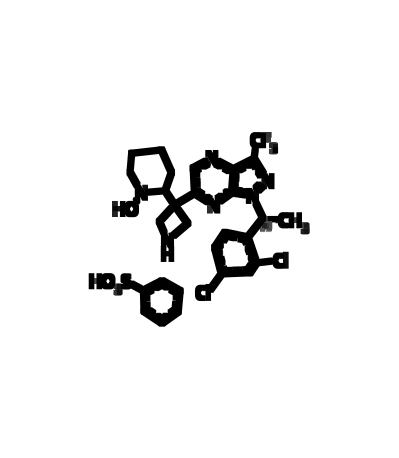 C[C@H](c1ccc(Cl)cc1Cl)n1nc(C(F)(F)F)c2ncc(C3(C4CCCCN4O)CNC3)nc21.O=S(=O)(O)c1ccccc1